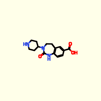 O=C(O)c1ccc2c(c1)CCN(C1CCNCC1)C(=O)N2